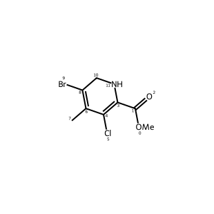 COC(=O)C1=C(Cl)C(C)=C(Br)CN1